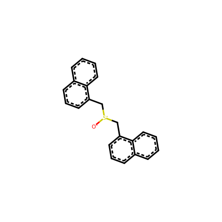 [O-][S+](Cc1cccc2ccccc12)Cc1cccc2ccccc12